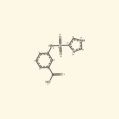 O=C(O)c1cccc(NS(=O)(=O)c2c[nH]cn2)c1